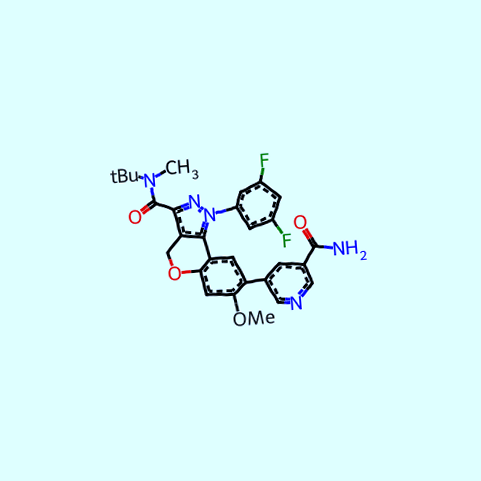 COc1cc2c(cc1-c1cncc(C(N)=O)c1)-c1c(c(C(=O)N(C)C(C)(C)C)nn1-c1cc(F)cc(F)c1)CO2